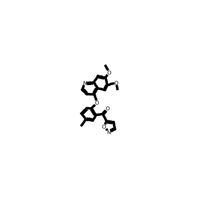 COc1cc2nccc(Oc3ccc(C)cc3C(=O)c3ccno3)c2cc1OC